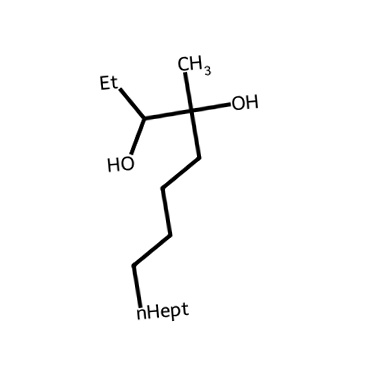 CCCCCCCCCCCC(C)(O)C(O)CC